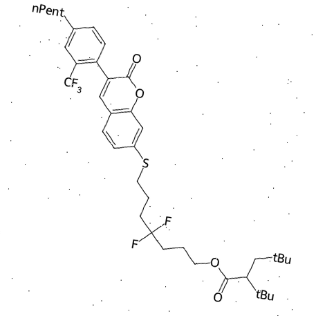 CCCCCc1ccc(-c2cc3ccc(SCCCC(F)(F)CCCOC(=O)C(CC(C)(C)C)C(C)(C)C)cc3oc2=O)c(C(F)(F)F)c1